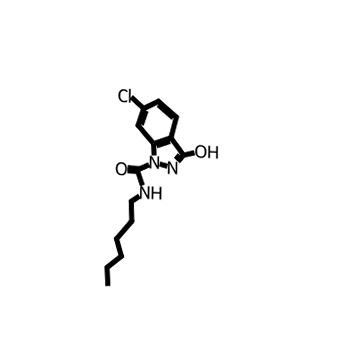 CCCCCCNC(=O)n1nc(O)c2ccc(Cl)cc21